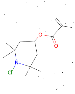 C=C(C)C(=O)OC1CC(C)(C)N(Cl)C(C)(C)C1